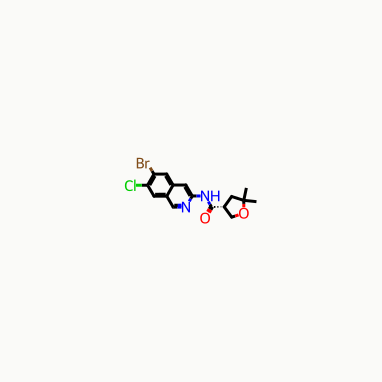 CC1(C)C[C@@H](C(=O)Nc2cc3cc(Br)c(Cl)cc3cn2)CO1